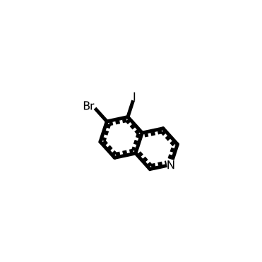 Brc1ccc2cnccc2c1I